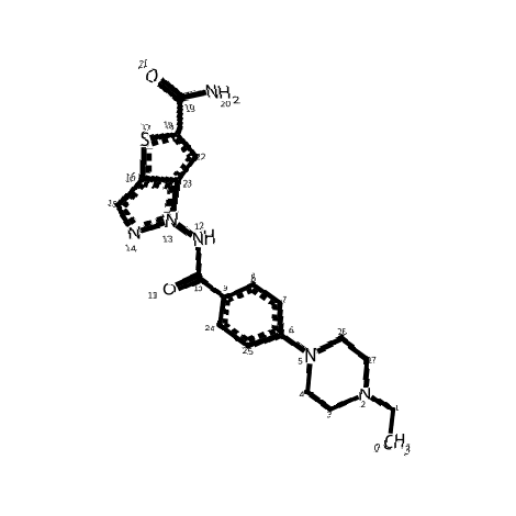 CCN1CCN(c2ccc(C(=O)Nn3ncc4sc(C(N)=O)cc43)cc2)CC1